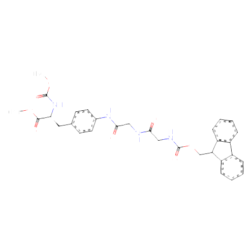 CC(C)(C)OC(=O)N[C@@H](Cc1ccc(NC(=O)CNC(=O)CNC(=O)OCC2c3ccccc3-c3ccccc32)cc1)C(=O)OC(C)(C)C